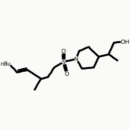 CCCCC=CC(C)CCS(=O)(=O)N1CCC(C(C)CO)CC1